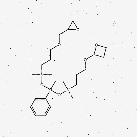 C[Si](C)(CCCOCC1CO1)O[Si](C)(O[Si](C)(C)CCCOC1CCO1)c1ccccc1